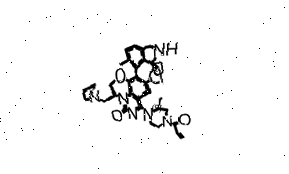 C=CC(=O)N1CCN(c2nc(=O)n3c4c(c(-c5c(C)ccc6c5C(=O)NC6)c(Cl)cc24)OCC3CN2CCC2)[C@@H](C)C1